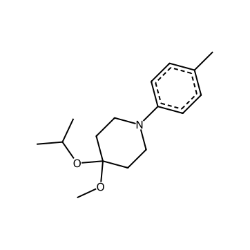 COC1(OC(C)C)CCN(c2ccc(C)cc2)CC1